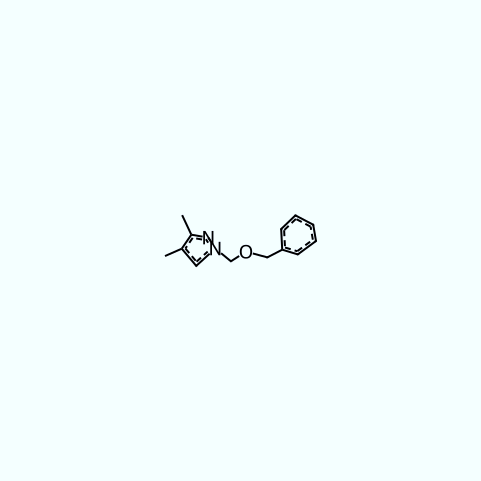 Cc1cn(COCc2ccccc2)nc1C